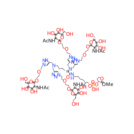 CO[C@H]1OCCC1OP(=O)(O)OCCCCCCNC(=O)[C@H](CCCCN(Cc1cn(CCOCCO[C@@H]2O[C@H](CO)[C@H](O)[C@H](O)[C@H]2NC(C)=O)nn1)Cc1cn(CCOCCO[C@@H]2O[C@H](CCO)[C@H](O)[C@H](O)[C@H]2NC(C)=O)nn1)N(Cc1cn(CCOCCO[C@@H]2O[C@H](CO)[C@H](O)[C@H](O)[C@H]2NC(C)=O)nn1)Cc1cn(CCOCCO[C@@H]2O[C@H](CO)[C@H](O)[C@H](O)[C@H]2NC(C)=O)nn1